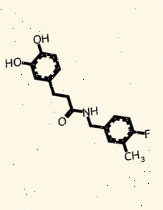 Cc1cc(CNC(=O)CCc2ccc(O)c(O)c2)ccc1F